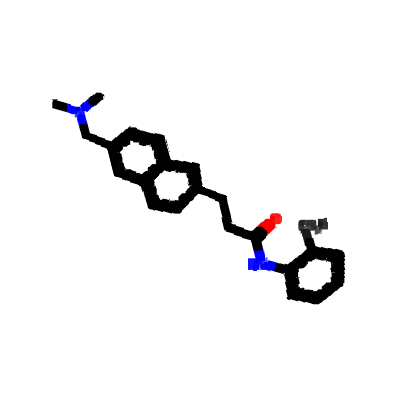 CN(C)Cc1ccc2cc(CCC(=O)Nc3ccccc3C(=O)O)ccc2c1